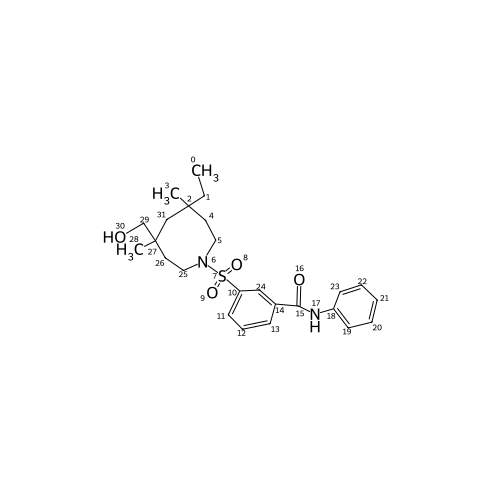 CCC1(C)CCN(S(=O)(=O)c2cccc(C(=O)Nc3ccccc3)c2)CCC(C)(CO)C1